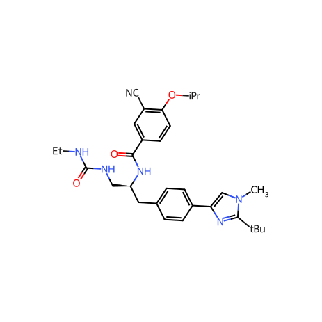 CCNC(=O)NC[C@H](Cc1ccc(-c2cn(C)c(C(C)(C)C)n2)cc1)NC(=O)c1ccc(OC(C)C)c(C#N)c1